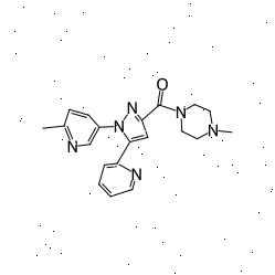 Cc1ccc(-n2nc(C(=O)N3CCN(C)CC3)cc2-c2ccccn2)cn1